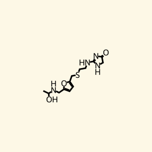 CC(O)NCc1ccc(CSCCNC2=NC(=O)CN2)o1